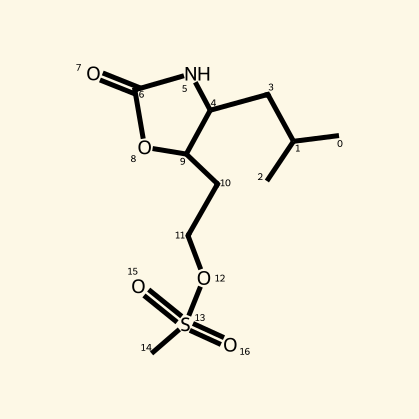 CC(C)CC1NC(=O)OC1CCOS(C)(=O)=O